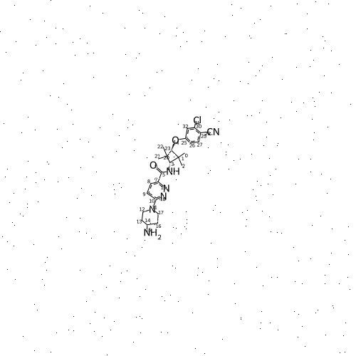 CC1(C)[C@H](NC(=O)c2ccc(N3CCC(N)CC3)nn2)C(C)(C)[C@H]1Oc1ccc(C#N)c(Cl)c1